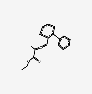 CCOC(=O)C(C)=C=Cc1ccccc1-c1ccccc1